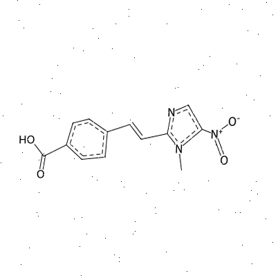 Cn1c([N+](=O)[O-])cnc1/C=C/c1ccc(C(=O)O)cc1